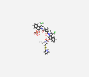 CCC1(C(=O)N2C[C@@H](CCl)c3c2cc(OC(=O)N(C)CCSSc2ccccn2)c2ccccc32)CC(C)(C(=O)N2C[C@@H](CCl)c3c2cc(OP(=O)(O)O)c2ccccc32)C1